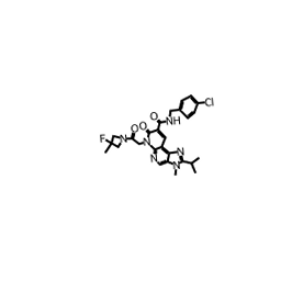 CC(C)c1nc2c3cc(C(=O)NCc4ccc(Cl)cc4)c(=O)n(CC(=O)N4CC(C)(F)C4)c3ncc2n1C